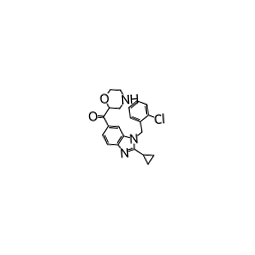 O=C(c1ccc2nc(C3CC3)n(Cc3ccccc3Cl)c2c1)C1CNCCO1